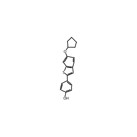 Oc1ccc(-c2cc3ccc(OC4CCCC4)cc3s2)cc1